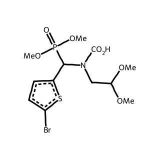 COC(CN(C(=O)O)C(c1ccc(Br)s1)P(=O)(OC)OC)OC